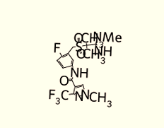 CNC(=N)C(C)(C)S(=O)(=O)Cc1cc(NC(=O)c2cn(C)nc2C(F)(F)F)ccc1F